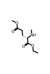 CCOC(=O)[C@H](CCC(=O)OC)NC